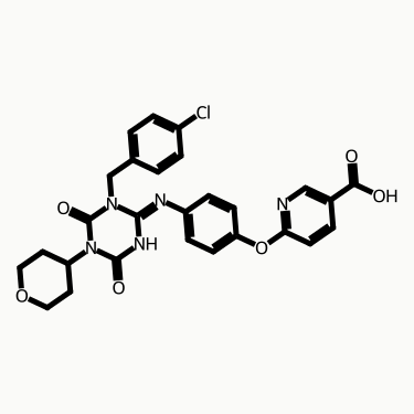 O=C(O)c1ccc(Oc2ccc(/N=c3\[nH]c(=O)n(C4CCOCC4)c(=O)n3Cc3ccc(Cl)cc3)cc2)nc1